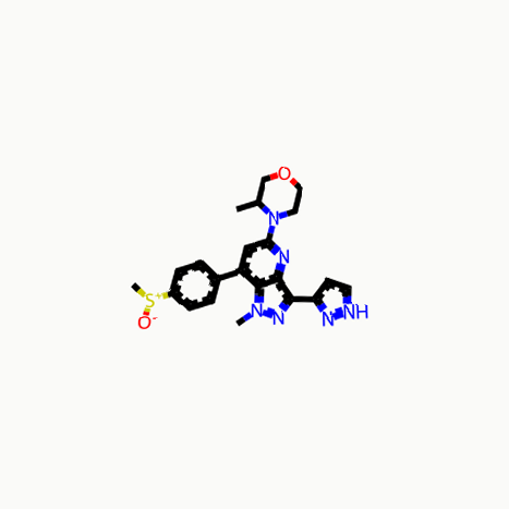 CC1COCCN1c1cc(-c2ccc([S+](C)[O-])cc2)c2c(n1)c(-c1cc[nH]n1)nn2C